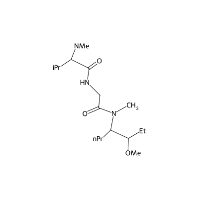 CCCC(C(CC)OC)N(C)C(=O)CNC(=O)C(NC)C(C)C